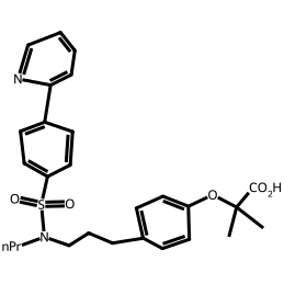 CCCN(CCCc1ccc(OC(C)(C)C(=O)O)cc1)S(=O)(=O)c1ccc(-c2ccccn2)cc1